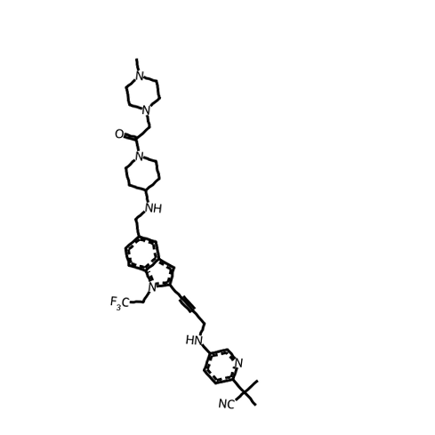 CN1CCN(CC(=O)N2CCC(NCc3ccc4c(c3)cc(C#CCNc3ccc(C(C)(C)C#N)nc3)n4CC(F)(F)F)CC2)CC1